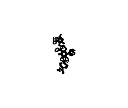 Cc1cc(C)c(CN2CCc3c(c(C)c4c(c3-c3ccsc3)O[C@@](C)([C@H]3CC[C@H](N(C)C)CC3)O4)C2=O)c(=O)[nH]1